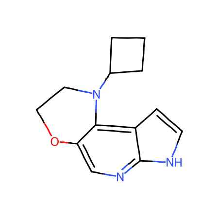 c1cc2c3c(cnc2[nH]1)OCCN3C1CCC1